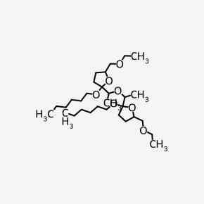 CCCCCCOC1(C(C)OC(C)C2(OCCCCCC)CCC(COCC)O2)CCC(COCC)O1